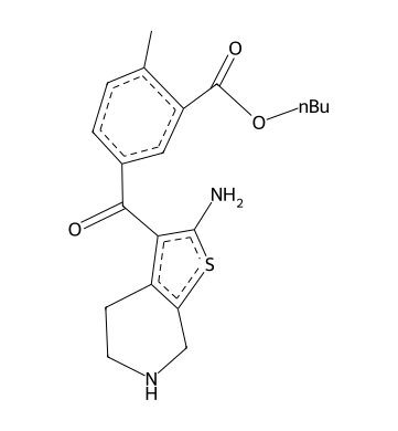 CCCCOC(=O)c1cc(C(=O)c2c(N)sc3c2CCNC3)ccc1C